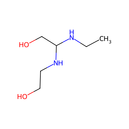 CCNC(CO)NCCO